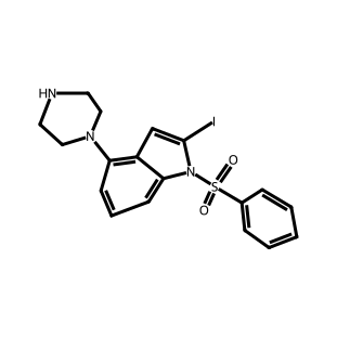 O=S(=O)(c1ccccc1)n1c(I)cc2c(N3CCNCC3)cccc21